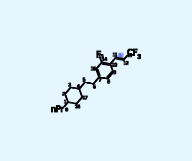 CCCC1CCC(CCc2ccc(/C=C/C(F)(F)F)c(F)c2)CC1